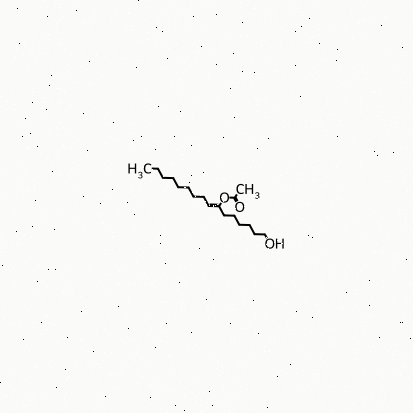 CCCCCCCCC=C(CCCCCCO)OC(C)=O